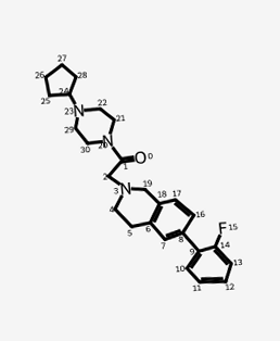 O=C(CN1CCc2cc(-c3ccccc3F)ccc2C1)N1CCN(C2CCCC2)CC1